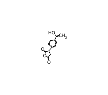 C=C(O)c1ccc(C2CC(=O)OC2=O)cc1